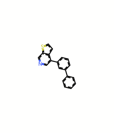 c1ccc(-c2cccc(-c3cncc4sccc34)c2)cc1